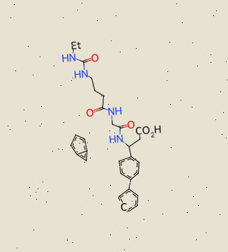 CCNC(=O)NCCCC(=O)NCC(=O)NC(CC(=O)O)c1ccc(-c2ccccc2)cc1.c1cc2cc-2c1